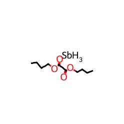 CCCCOC(=O)C(=O)OCCCC.[SbH3]